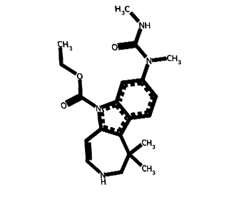 CCOC(=O)n1c2c(c3ccc(N(C)C(=O)NC)cc31)C(C)(C)CNC=C2